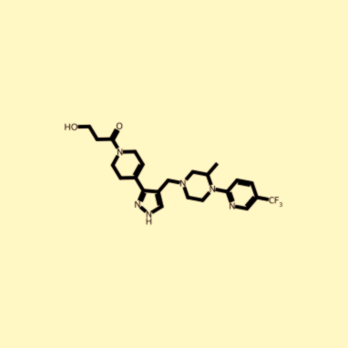 CC1CN(Cc2c[nH]nc2C2=CCN(C(=O)CCO)CC2)CCN1c1ccc(C(F)(F)F)cn1